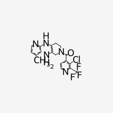 Cc1ccnc(NC2=C(N)CN(C(=O)c3ccnc(C(F)(F)F)c3Cl)CC2)c1